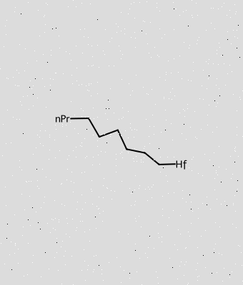 CCCCCCCC[CH2][Hf]